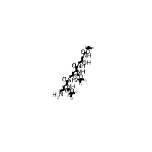 CC(C)(C)OC(=O)NCC(O)CNC(=O)[C@H](CCCNC(=O)[C@H](CCCN)NC(=O)OC(C)(C)C)NC(=O)OC(C)(C)C